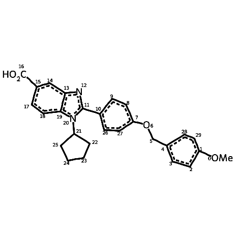 COc1ccc(COc2ccc(-c3nc4cc(C(=O)O)ccc4n3C3CCCC3)cc2)cc1